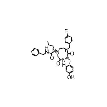 CCCN(C(=O)NCc1ccccc1)N1CCN(Cc2ccc(F)cc2)C(=O)[C@H](Cc2ccc(O)cc2)NC(=O)C1